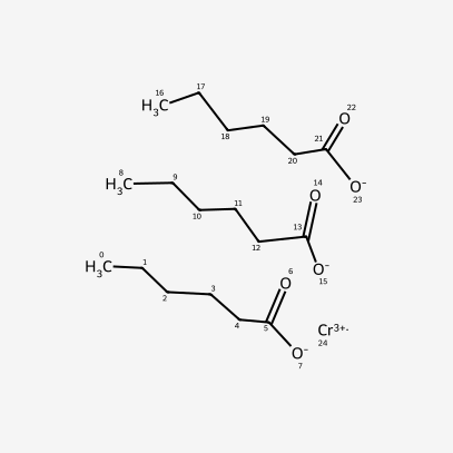 CCCCCC(=O)[O-].CCCCCC(=O)[O-].CCCCCC(=O)[O-].[Cr+3]